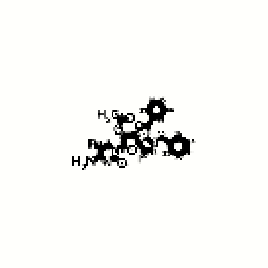 CC(=O)O[C@H]1[C@H](n2cc(F)c(N)nc2=O)O[C@@](COCc2ccccc2)(C(F)F)[C@H]1OCc1ccccc1